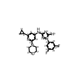 [2H]c1nc(Nc2cc(C3CC3)nc(N3CCOCC3)c2)nn1-c1cc(F)cc(F)c1